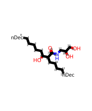 CCCCCCCCCCCCCCCC(O)C(CCCCCCCCCCCCCC)C(=O)NCC(O)CO